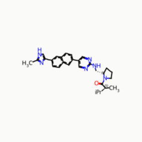 Cc1nc(-c2ccc3cc(-c4cnc(NC[C@@H]5CCCN5C(=O)[C@@H](C)C(C)C)nc4)ccc3c2)c[nH]1